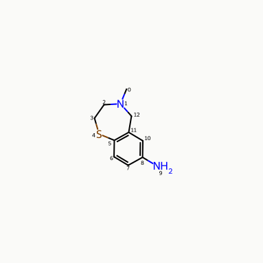 CN1CCSc2ccc(N)cc2C1